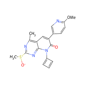 COc1ccc(-c2cc3c(C)nc([S+](C)[O-])nc3n(C3=CC=C3)c2=O)cn1